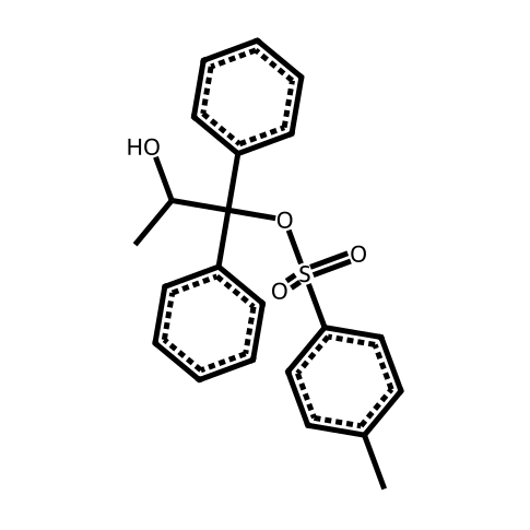 Cc1ccc(S(=O)(=O)OC(c2ccccc2)(c2ccccc2)C(C)O)cc1